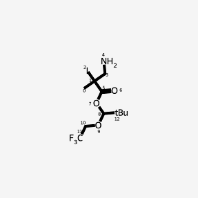 CC(I)(CN)C(=O)OC(OCC(F)(F)F)C(C)(C)C